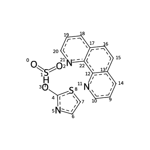 O=[SH](=O)Oc1nccs1.c1cnc2c(c1)ccc1cccnc12